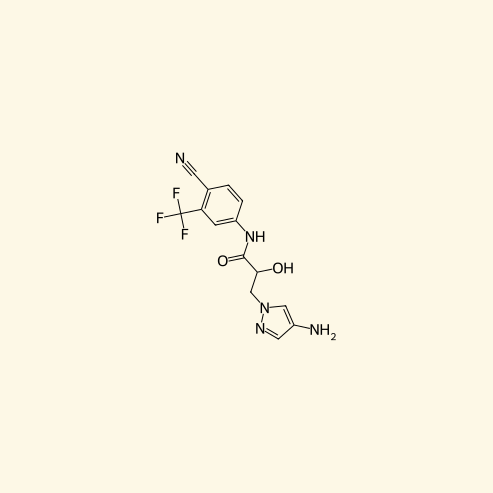 N#Cc1ccc(NC(=O)C(O)Cn2cc(N)cn2)cc1C(F)(F)F